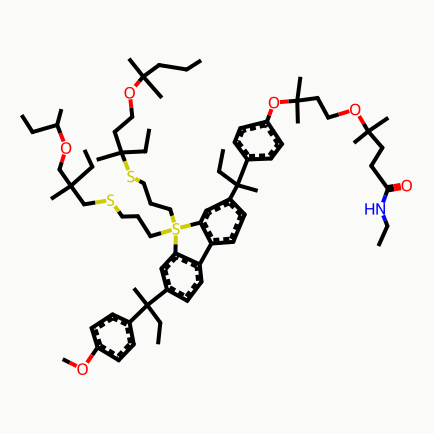 CCCC(C)(C)OCCC(C)(CC)SCCCS1(CCCSCC(C)(CC)COC(C)CC)c2cc(C(C)(CC)c3ccc(OC)cc3)ccc2-c2ccc(C(C)(CC)c3ccc(OC(C)(C)CCOC(C)(C)CCC(=O)NCC)cc3)cc21